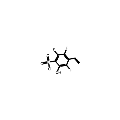 C=Cc1c(F)c(O)c(S(=O)(=O)Cl)c(F)c1F